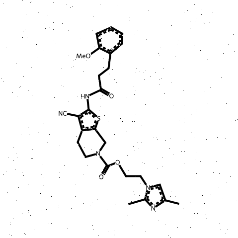 COc1ccccc1CCC(=O)Nc1sc2c(c1C#N)CCN(C(=O)OCCn1cc(C)nc1C)C2